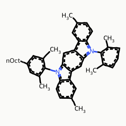 CCCCCCCCc1cc(C)c(-n2c3ccc(C)cc3c3cc4c(cc32)c2cc(C)ccc2n4-c2c(C)cccc2C)c(C)c1